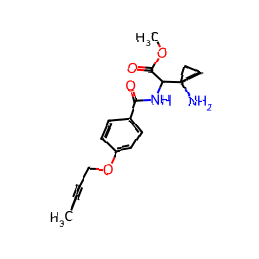 CC#CCOc1ccc(C(=O)NC(C(=O)OC)C2(N)CC2)cc1